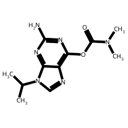 CC(C)n1cnc2c(OC(=O)N(C)C)nc(N)nc21